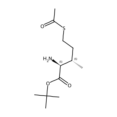 CC(=O)SCC[C@H](C)[C@H](N)C(=O)OC(C)(C)C